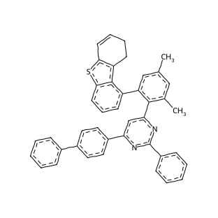 Cc1cc(C)c(-c2cc(-c3ccc(-c4ccccc4)cc3)nc(-c3ccccc3)n2)c(-c2cccc3sc4c(c23)CCC=C4)c1